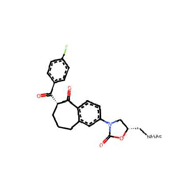 CC(=O)NC[C@H]1CN(c2ccc3c(c2)CCC[C@H](C(=O)c2ccc(F)cc2)C3=O)C(=O)O1